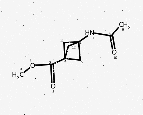 COC(=O)C12CC(NC(C)=O)(C1)C2